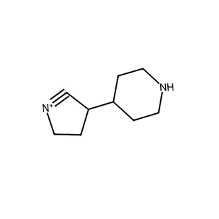 C1#[N+]CCC1C1CCNCC1